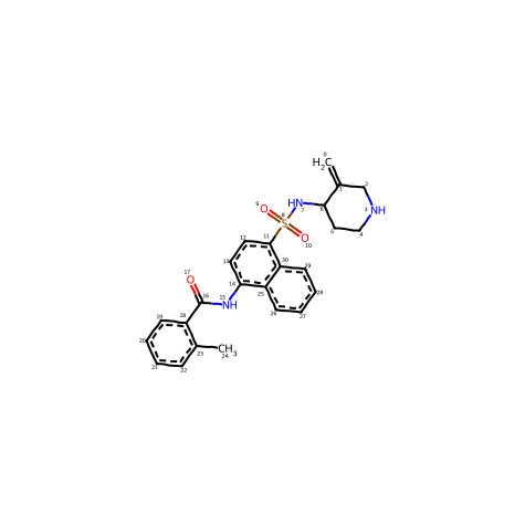 C=C1CNCCC1NS(=O)(=O)c1ccc(NC(=O)c2ccccc2C)c2ccccc12